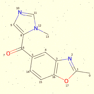 Cc1nc2cc(C(=O)c3cncn3C)ccc2o1